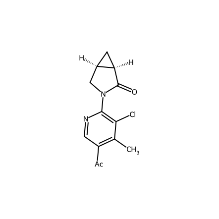 CC(=O)c1cnc(N2C[C@H]3C[C@H]3C2=O)c(Cl)c1C